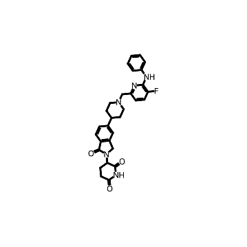 O=C1CCC(N2Cc3cc(C4CCN(Cc5ccc(F)c(Nc6ccccc6)n5)CC4)ccc3C2=O)C(=O)N1